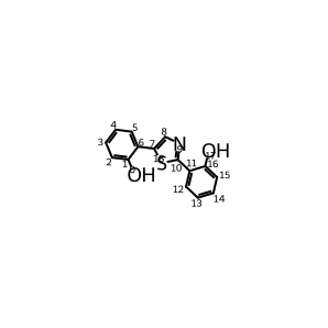 Oc1ccccc1-c1cnc(-c2ccccc2O)s1